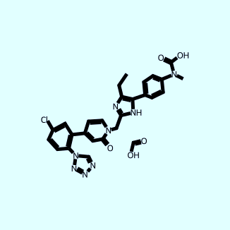 CCc1nc(Cn2ccc(-c3cc(Cl)ccc3-n3cnnn3)cc2=O)[nH]c1-c1ccc(N(C)C(=O)O)cc1.O=CO